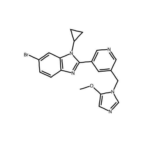 COc1cncn1Cc1cncc(-c2nc3ccc(Br)cc3n2C2CC2)c1